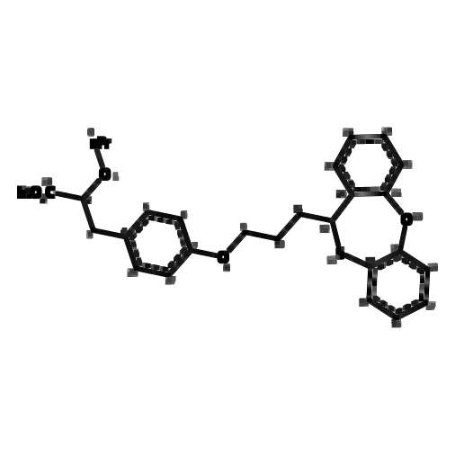 CCCOC(Cc1ccc(OCCCC2Sc3ccccc3Oc3ccccc32)cc1)C(=O)OCC